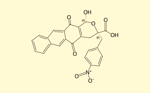 O=C1C2=C(C(=O)c3cc4ccccc4cc31)[C@H](O)O[C@@](Cc1ccc([N+](=O)[O-])cc1)(C(=O)O)C2